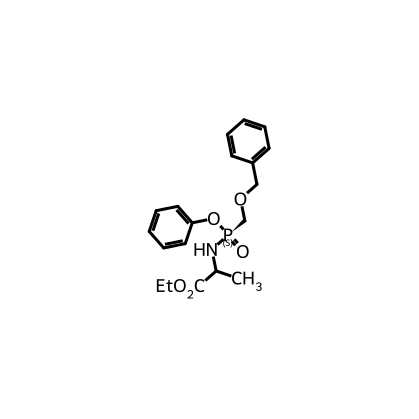 CCOC(=O)C(C)N[P@](=O)(COCc1ccccc1)Oc1ccccc1